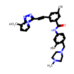 CN1CCN(Cc2ccc(NC(=O)c3cc(C#N)cc(C#Cc4nnc5c(C(=O)O)cccn45)c3)cc2C(C)(C)C)CC1